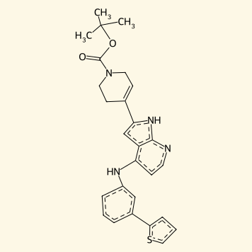 CC(C)(C)OC(=O)N1CC=C(c2cc3c(Nc4cccc(-c5cccs5)c4)ccnc3[nH]2)CC1